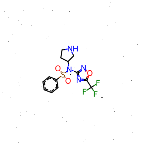 O=S(=O)(c1ccccc1)N(c1noc(C(F)(F)F)n1)C1CCNC1